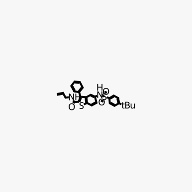 C=CCNC(=O)c1sc2ccc(NS(=O)(=O)c3ccc(C(C)(C)C)cc3)cc2c1-c1ccccc1